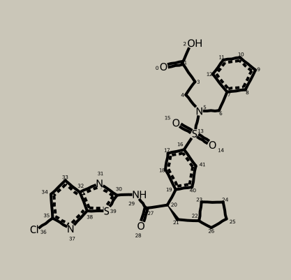 O=C(O)CCN(Cc1ccccc1)S(=O)(=O)c1ccc([C@@H](CC2CCCC2)C(=O)Nc2nc3ccc(Cl)nc3s2)cc1